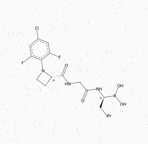 CC(C)C[C@@H](NC(=O)CNC(=O)[C@@H]1CCN1c1c(F)cc(Cl)cc1F)B(O)O